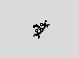 C=CP(=O)(OC(F)(F)F)OC(F)(F)F